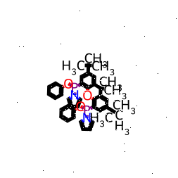 CC(C)(C)c1cc(P(Oc2ccccc2)n2cccc2)c2c(c1)C(C)(C)c1cc(C(C)(C)C)cc(P(Oc3ccccc3)n3cccc3)c1O2